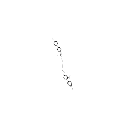 O=C(CCCCCCCCC(=O)Oc1ccc(-c2ccc(F)cc2)c(F)c1)Oc1ccc(-c2ccc(F)cc2)c(F)c1